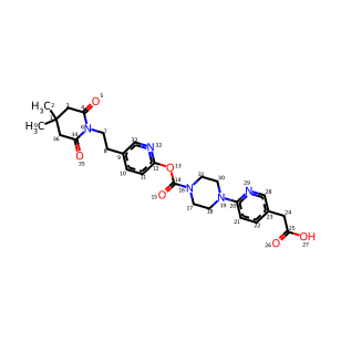 CC1(C)CC(=O)N(CCc2ccc(OC(=O)N3CCN(c4ccc(CC(=O)O)cn4)CC3)nc2)C(=O)C1